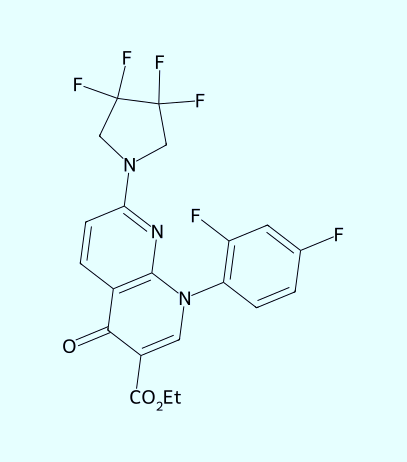 CCOC(=O)c1cn(-c2ccc(F)cc2F)c2nc(N3CC(F)(F)C(F)(F)C3)ccc2c1=O